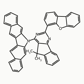 CC1(C)c2ccccc2-c2nc(-c3cccc4c3oc3ccccc34)nc(-n3c4cc5ccccc5cc4c4cc5ccccc5cc43)c21